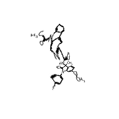 COc1ccc2c(c1)N(c1ccc(F)cc1)C(=O)C2(C)NC(=O)c1cc2c3ccccc3n(C(C)=O)c2cn1